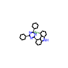 Brc1cccc2[nH]c3cccc(-c4nc(-c5ccccc5)nc(-c5ccccc5)n4)c3c12